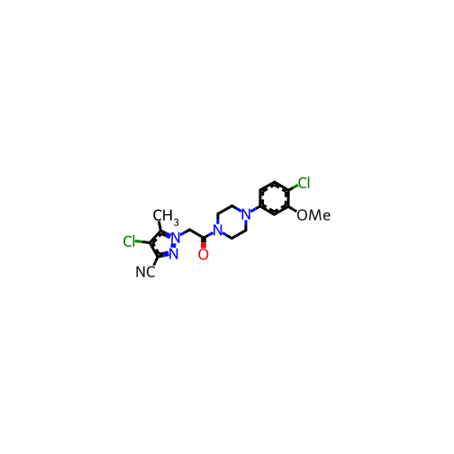 COc1cc(N2CCN(C(=O)Cn3nc(C#N)c(Cl)c3C)CC2)ccc1Cl